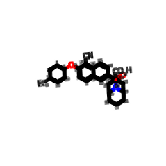 CC[C@H]1CC[C@@H](Oc2ccc3cc(C(=O)N4C5CCCC4CC(C(=O)O)C5)ccc3c2C#N)CC1